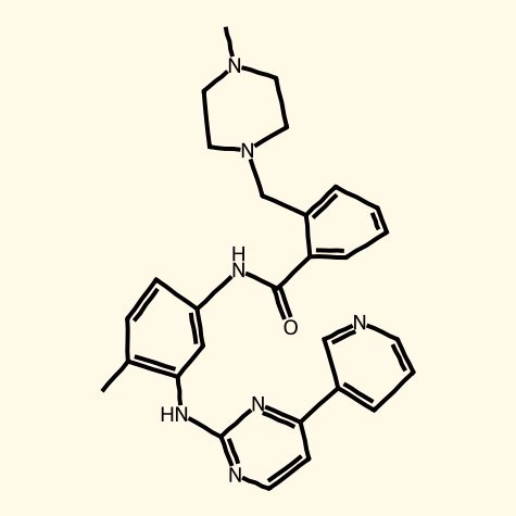 Cc1ccc(NC(=O)c2ccccc2CN2CCN(C)CC2)cc1Nc1nccc(-c2cccnc2)n1